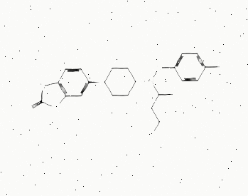 CCCC(C)N(Sc1ccc(F)cc1)[C@H]1CC[C@H](c2ccc3[nH]c(=O)oc3c2)CC1